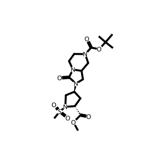 COC(=O)[C@H]1C[C@H](N2CC3CN(C(=O)OC(C)(C)C)CCN3C2=O)CN1S(C)(=O)=O